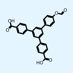 O=COc1ccc(-c2cc(-c3ccc(C(=O)O)cc3)cc(-c3ccc(C(=O)O)cc3)c2)cc1